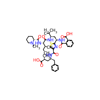 CC[C@H](C)[C@H](NC(=O)[C@H]1CCCCN1C)C(=O)N[C@H](C[C@@H](NC(=O)c1ccccc1C(=O)O)c1nc(C(=O)N[C@@H](Cc2ccccc2)C[C@H](C)C(=O)O)cs1)C(C)C